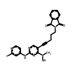 CCCN(C)c1nc(Nc2ccnc(F)c2)ncc1C#CCCCN1C(=O)c2ccccc2C1=O